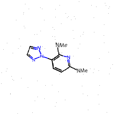 CNc1ccc(-n2nccn2)c(NC)n1